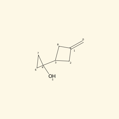 C=C1CC(C2(O)CC2)C1